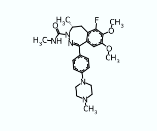 CNC(=O)N1N=C(c2ccc(N3CCN(C)CC3)cc2)c2cc(OC)c(OC)c(F)c2C[C@H]1C